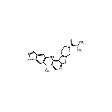 CSc1cc2[nH]ncc2cc1Nc1ncnc2sc3c(c12)CC[C@H](C(=O)N(C)C)C3